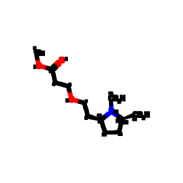 CC(C)(C)OC(=O)CCOCC[C@@H]1CC[C@@H](C(=O)O)N1C(=O)O